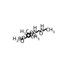 BC(=O)OCc1cc(C)c(OC(=O)NCCC(=O)NCCC)c(C)c1